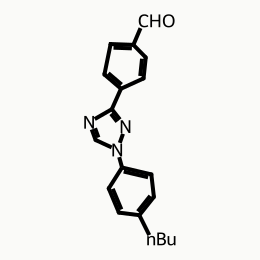 CCCCc1ccc(-n2cnc(-c3ccc(C=O)cc3)n2)cc1